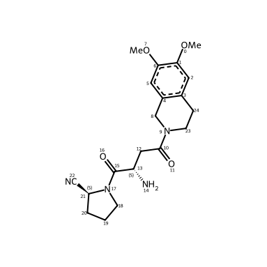 COc1cc2c(cc1OC)CN(C(=O)C[C@H](N)C(=O)N1CCC[C@H]1C#N)CC2